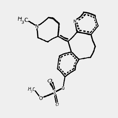 COS(=O)(=O)Oc1ccc2c(c1)CCc1cccnc1C2=C1CCN(C)CC1